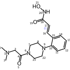 CN(C)CC(=O)N1CCN(c2ccccc2/C=C/C(=O)NO)CC1